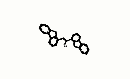 [Zr][CH](Cc1cccc2c1Cc1ccccc1-2)c1cccc2c1Cc1ccccc1-2